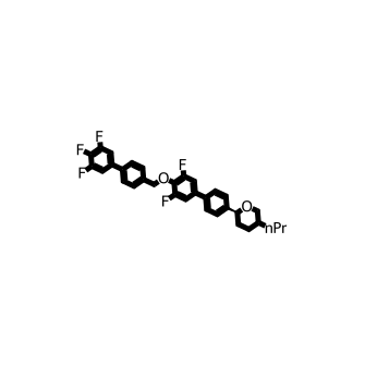 CCCC1CC[C@@H](c2ccc(-c3cc(F)c(OCc4ccc(-c5cc(F)c(F)c(F)c5)cc4)c(F)c3)cc2)OC1